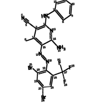 Cc1c(C#N)c(Nc2ccccc2)nc(N)c1/N=N/c1c(Br)cc(Br)cc1C(F)(F)F